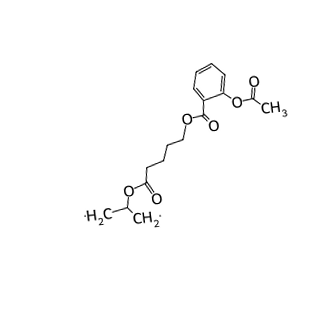 [CH2]C([CH2])OC(=O)CCCCOC(=O)c1ccccc1OC(C)=O